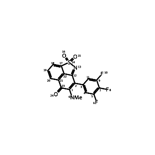 CNC1=C(c2cc(F)c(F)c(F)c2)C2=NS(=O)(=O)c3cccc(c32)C1=O